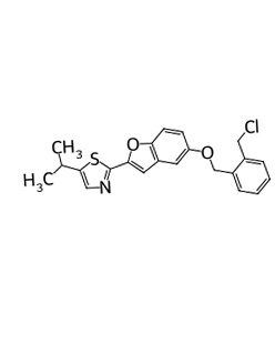 CC(C)c1cnc(-c2cc3cc(OCc4ccccc4CCl)ccc3o2)s1